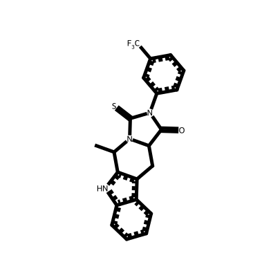 CC1c2[nH]c3ccccc3c2CC2C(=O)N(c3cccc(C(F)(F)F)c3)C(=S)N21